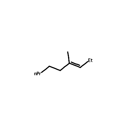 [CH2]C/C=C(\C)CCCCC